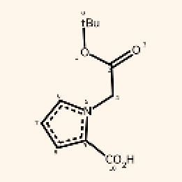 CC(C)(C)OC(=O)Cn1cccc1C(=O)O